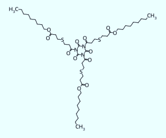 CCCCCCCCCOC(=O)CCSCCC(=O)n1c(=O)n(C(=O)CCSCCC(=O)OCCCCCCCCC)c(=O)n(C(=O)CCSCCC(=O)OCCCCCCCCC)c1=O